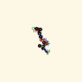 O=C(NS(=O)(=O)c1ccc(N[C@@H](CSc2ccccc2)C[C@@H]2CCCN2CCNCC(F)F)c(S(=O)(=O)C(F)(F)F)c1)c1ccc(N2CCC([C@@H](O)c3ccccc3-c3ccc(Cl)cc3)CC2)cc1